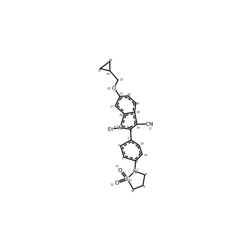 CCn1c(-c2ccc(N3CCCS3(=O)=O)cc2)c(C#N)c2ccc(OCC3CC3)cc21